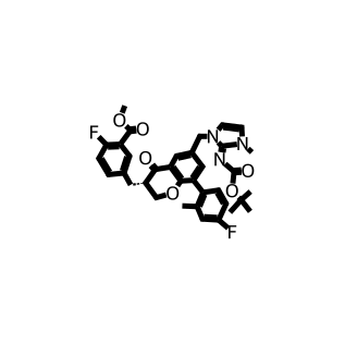 COC(=O)c1cc(C[C@H]2COc3c(cc(Cn4ccn(C)c4=NC(=O)OC(C)(C)C)cc3-c3ccc(F)cc3C)C2=O)ccc1F